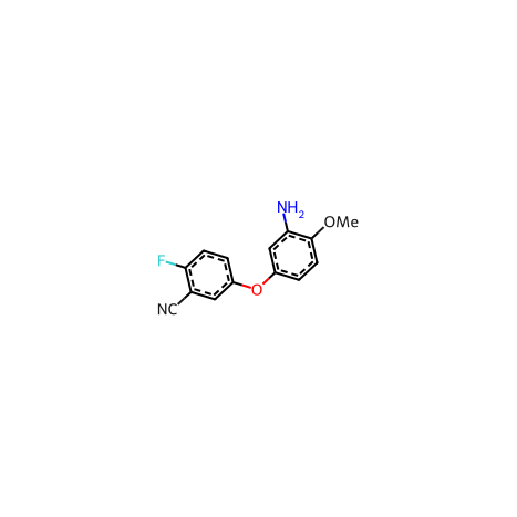 COc1ccc(Oc2ccc(F)c(C#N)c2)cc1N